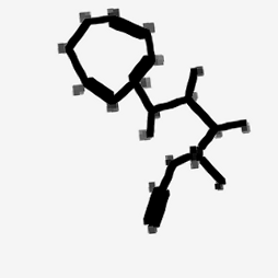 C#CCN(C)C(C)C(C)C(C)C1=C/C=CCC/C=C\1